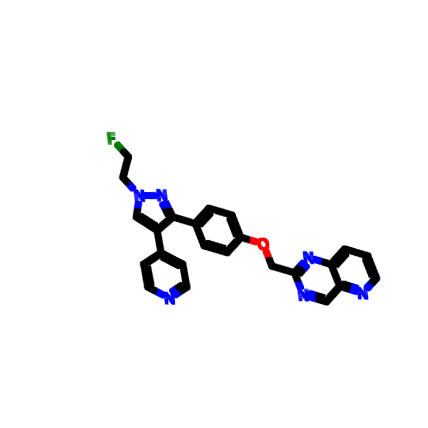 FCCn1cc(-c2ccncc2)c(-c2ccc(OCc3ncc4ncccc4n3)cc2)n1